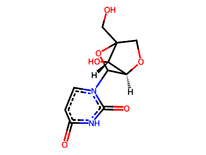 O=c1ccn(C2OC3(CO)CO[C@@H]2[C@@H]3O)c(=O)[nH]1